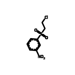 O=[N+]([O-])c1cccc(S(=O)(=O)CCCl)c1